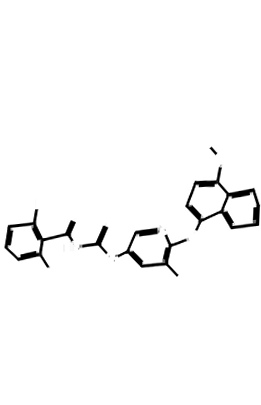 COc1ccc(Oc2ncc(NC(=O)NC(=O)c3c(F)cccc3F)cc2C)c2ccccc12